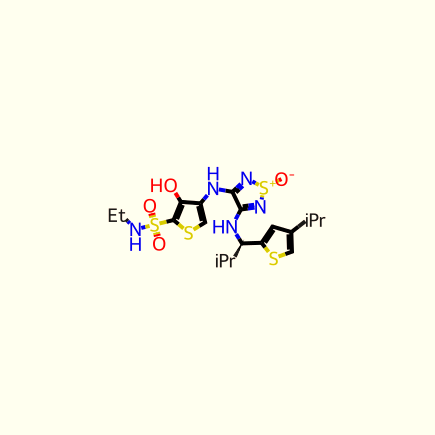 CCNS(=O)(=O)c1scc(Nc2n[s+]([O-])nc2N[C@@H](c2cc(C(C)C)cs2)C(C)C)c1O